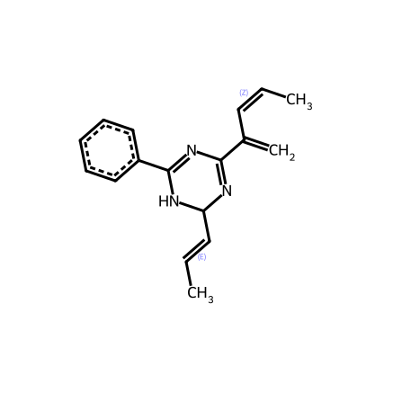 C=C(/C=C\C)C1=NC(/C=C/C)NC(c2ccccc2)=N1